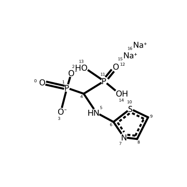 O=P([O-])([O-])C(Nc1nccs1)P(=O)(O)O.[Na+].[Na+]